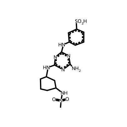 CS(=O)(=O)NC1CCCC(Nc2nc(N)nc(Nc3cccc(S(=O)(=O)O)c3)n2)C1